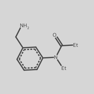 CCC(=O)N(CC)c1cccc(CN)c1